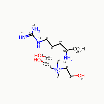 CCO.CCO.C[N+](C)(C)CCO.N=C(N)NCCCC(N)C(=O)O